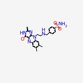 C=c1nc2c(c(=O)[nH]1)=Nc1cc(C)c(C)cc1N2CCNCc1ccc(S(N)(=O)=O)cc1